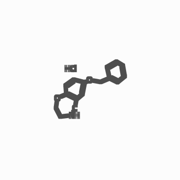 Cl.c1ccc(COc2ccc3c(c2)CNCCO3)cc1